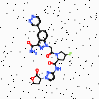 NC(=O)c1nn(CC(=O)N2CC(F)CC2C(=O)Nc2ccn([C@@H]3CCOC3=O)n2)c2ccc(-c3ccnnc3)cc12